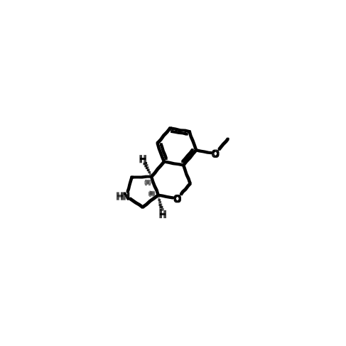 COc1cccc2c1CO[C@H]1CNC[C@@H]21